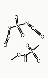 CONS(C)(=O)=O.O=C=NS(=O)(=O)N=C=O